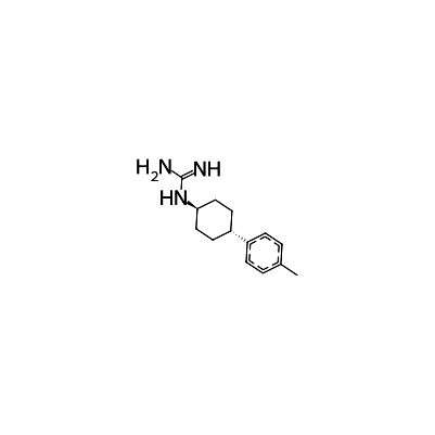 Cc1ccc([C@H]2CC[C@H](NC(=N)N)CC2)cc1